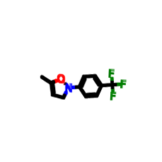 CC1=CCN(c2ccc(C(F)(F)F)cc2)O1